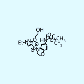 CCn1cc(S(=O)(=O)N2CCOc3ccc(NC(=O)OC(C)(C)C(F)(F)F)cc32)c(OCCO)n1